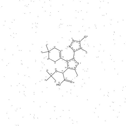 Cc1sc(-c2nsc(Cl)c2C)c(C2=CCC(C)(C)CC2)c1C(OC(C)(C)C)C(=O)O